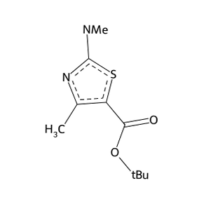 CNc1nc(C)c(C(=O)OC(C)(C)C)s1